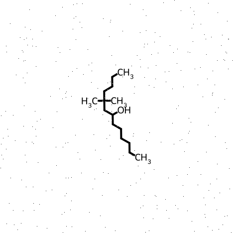 CCCCCCC(O)CC(C)(C)CCCC